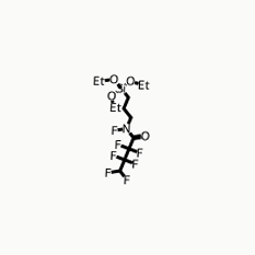 CCO[Si](CCCN(F)C(=O)C(F)(F)C(F)(F)C(F)F)(OCC)OCC